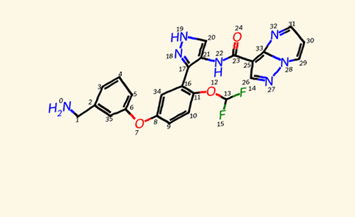 NCc1cccc(Oc2ccc(OC(F)F)c(-c3n[nH]cc3NC(=O)c3cnn4cccnc34)c2)c1